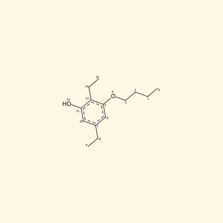 CCCCOc1cc(CC)cc(O)c1CC